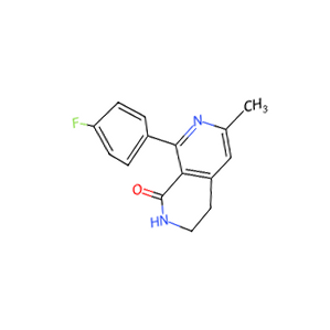 Cc1cc2c(c(-c3ccc(F)cc3)n1)C(=O)NCC2